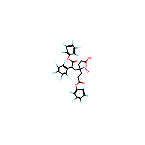 O=C(O)CCC(CCC(=O)Oc1c(F)c(F)c(F)c(F)c1F)(CC(C(=O)Oc1c(F)c(F)c(F)c(F)c1F)c1c(F)c(F)c(F)c(F)c1F)[N+](=O)[O-]